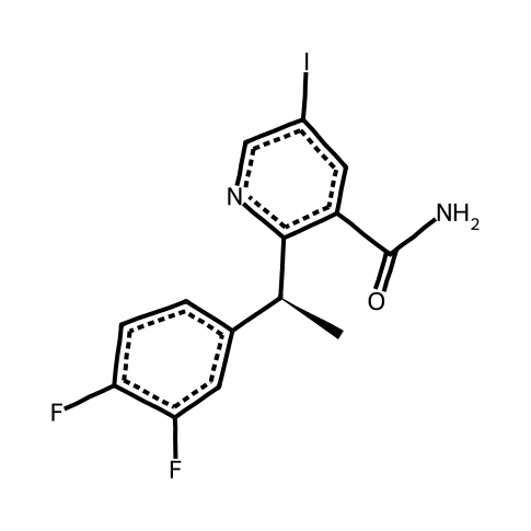 C[C@@H](c1ccc(F)c(F)c1)c1ncc(I)cc1C(N)=O